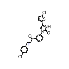 O=C(/C=C/c1ccc(Cl)cc1)c1cccc(-n2cc(-c3ccc(Cl)s3)[nH]c2=O)c1